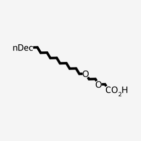 CCCCCCCCCCCCCCCCCCCCOCCOCC(=O)O